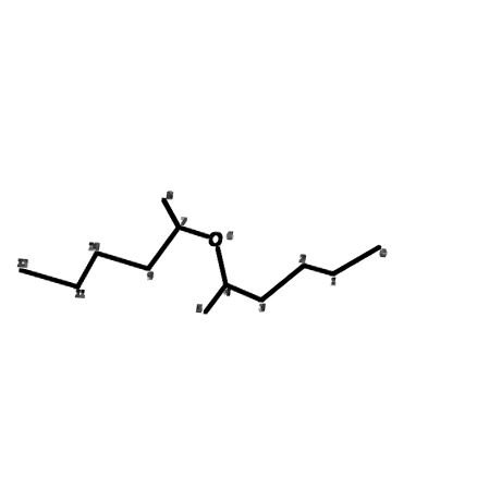 CCCCC(C)OC(C)CCCC